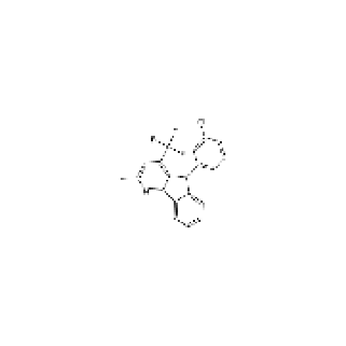 Cc1cc(C(F)(F)F)c2c(n1)-c1ccccc1C2c1cccc(Cl)c1